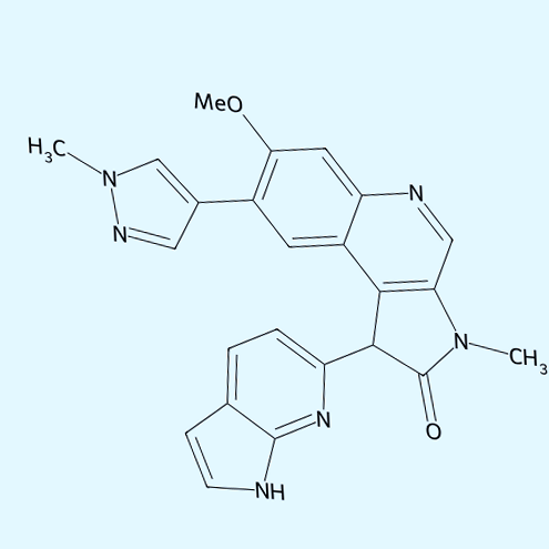 COc1cc2ncc3c(c2cc1-c1cnn(C)c1)C(c1ccc2cc[nH]c2n1)C(=O)N3C